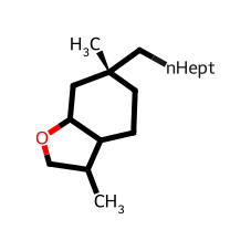 CCCCCCCC[C@]1(C)CCC2C(C)COC2C1